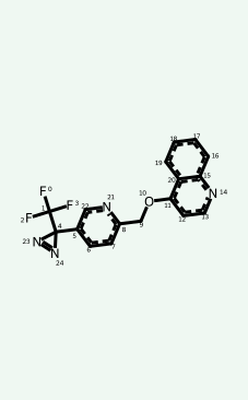 FC(F)(F)C1(c2ccc(COc3ccnc4ccccc34)nc2)N=N1